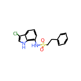 O=S(=O)(CCc1ccccc1)Nc1cccc2c(Cl)c[nH]c12